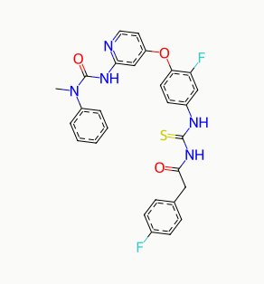 CN(C(=O)Nc1cc(Oc2ccc(NC(=S)NC(=O)Cc3ccc(F)cc3)cc2F)ccn1)c1ccccc1